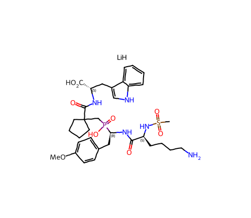 COc1ccc(C[C@H](NC(=O)[C@H](CCCCN)NS(C)(=O)=O)P(=O)(O)CC2(C(=O)N[C@@H](Cc3c[nH]c4ccccc34)C(=O)O)CCCC2)cc1.[LiH]